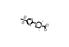 C[C@@H]1CN(c2ncc(S(C)(=O)=O)cn2)C[C@H](C)N1C(=O)Cl